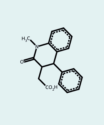 CN1C(=O)C(CC(=O)O)C(c2ccccc2)c2ccccc21